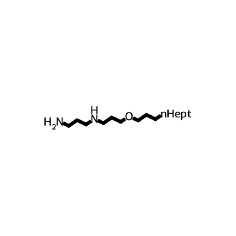 CCCCCCCCCCOCCCNCCCN